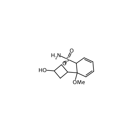 COC1(C2CC(O)C2)C=CC=CC1S(N)(=O)=O